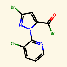 O=C(Br)c1cc(Br)nn1-c1ncccc1Cl